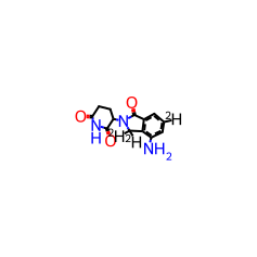 [2H]c1cc(N)c2c(c1)C(=O)N(C1CCC(=O)NC1=O)C2([2H])[2H]